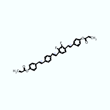 C=CC(=O)Oc1ccc(/C=C/c2ccc(/C=C/c3ccc(/C=C/c4ccc(OC(=O)C=C)cc4)c(F)c3F)cc2)cc1